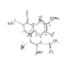 CCOC(=O)c1cn([C@@H](C(C)C)C(O[SiH](C)C)C(C)(C)C)c2cc(Cl)c(OC)nc2c1=O